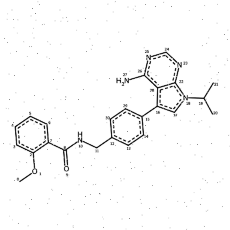 COc1ccccc1C(=O)NCc1ccc(-c2cn(C(C)C)c3ncnc(N)c23)cc1